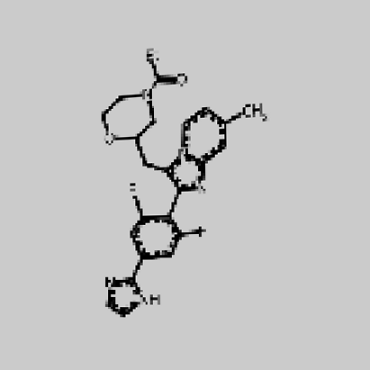 CCC(=O)N1CCOC(Cc2c(-c3c(F)cc(-c4ncc[nH]4)cc3F)nc3cc(C)ccn23)C1